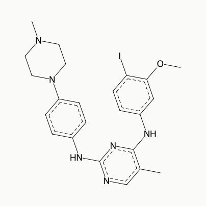 COc1cc(Nc2nc(Nc3ccc(N4CCN(C)CC4)cc3)ncc2C)ccc1I